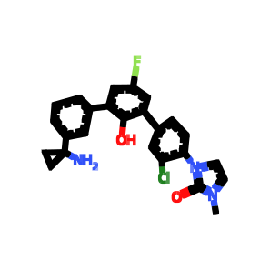 Cn1ccn(-c2ccc(-c3cc(F)cc(-c4cccc(C5(N)CC5)c4)c3O)cc2Cl)c1=O